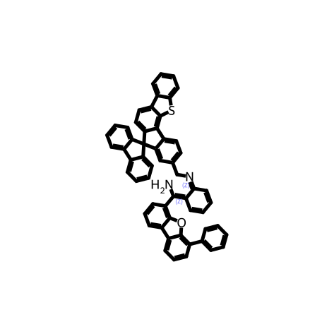 N/C(=C1/C=CC=C/C1=N/Cc1ccc2c(c1)C1(c3ccccc3-c3ccccc31)c1ccc3c(sc4ccccc43)c1-2)c1cccc2c1oc1c(-c3ccccc3)cccc12